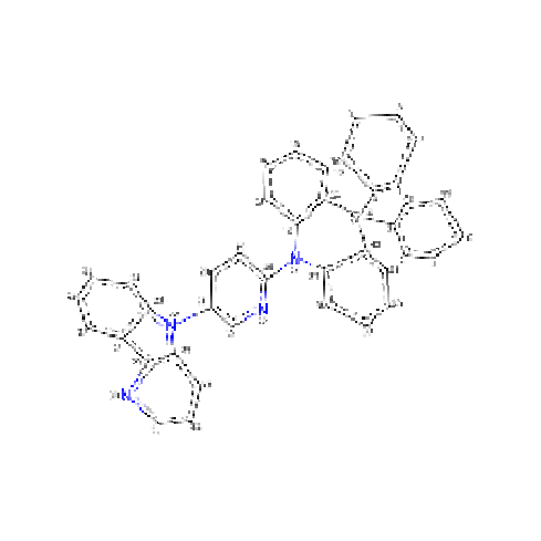 c1ccc([Si]2(c3ccccc3)c3ccccc3N(c3ccc(-n4c5ccccc5c5ncccc54)cn3)c3ccccc32)cc1